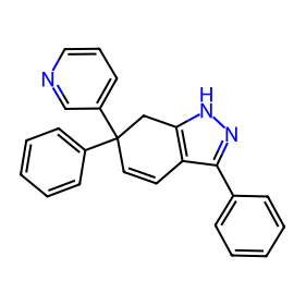 C1=CC(c2ccccc2)(c2cccnc2)Cc2[nH]nc(-c3ccccc3)c21